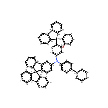 Brc1ccccc1C1(c2ccc(N(c3ccc(-c4ccccc4)cc3)c3ccc4c(c3)-c3ccccc3C43c4ccccc4-c4ccccc43)cc2)c2ccccc2-c2ccccc21